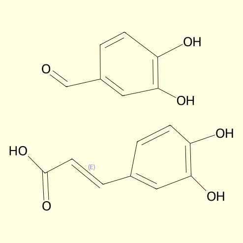 O=C(O)/C=C/c1ccc(O)c(O)c1.O=Cc1ccc(O)c(O)c1